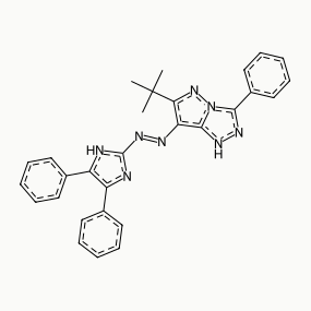 CC(C)(C)c1nn2c(-c3ccccc3)n[nH]c2c1N=Nc1nc(-c2ccccc2)c(-c2ccccc2)[nH]1